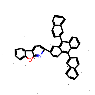 c1ccc2cc(-c3c4ccccc4c(-c4ccc5ccccc5c4)c4cc(-c5ccc6c(n5)oc5ccccc56)ccc34)ccc2c1